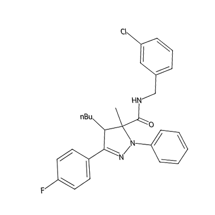 CCCCC1C(c2ccc(F)cc2)=NN(c2ccccc2)C1(C)C(=O)NCc1cccc(Cl)c1